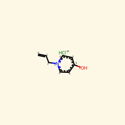 C=CC[n+]1ccc(O)cc1.Cl